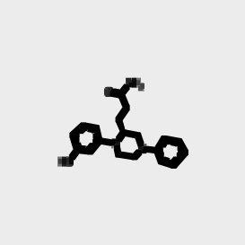 NC(=O)CC[C@H]1CN(c2ccccc2)CCN1c1cccc(O)c1